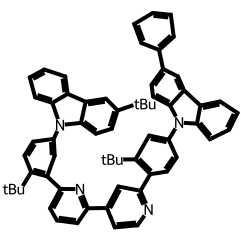 CC(C)(C)c1ccc2c(c1)c1ccccc1n2-c1ccc(C(C)(C)C)c(-c2cccc(-c3ccnc(-c4ccc(-n5c6ccccc6c6cc(-c7ccccc7)ccc65)cc4C(C)(C)C)c3)n2)c1